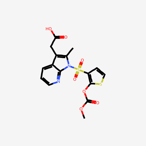 COC(=O)Oc1sccc1S(=O)(=O)n1c(C)c(CC(=O)O)c2cccnc21